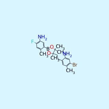 Cc1cc(CCC2(C)OB(c3cc(N)c(F)cc3C)OC2(C)C)c(N)cc1Br